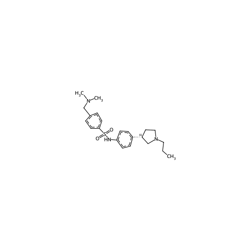 CCCN1CC[C@@H](c2ccc(NS(=O)(=O)c3ccc(CN(C)C)cc3)cc2)C1